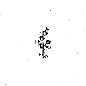 CC(=O)NCCCc1cnc(Nc2ccc(N3CCN(C(C)C)CC3)cn2)nc1N(C=O)C1CCCC1